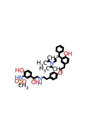 CC(C)N(CC[C@H](C1=CC=CCC1)c1cc(CCOc2ccc(CCNC[C@H](O)c3ccc(O)c(NS(C)(=O)=O)c3)cc2)ccc1O)C(C)C